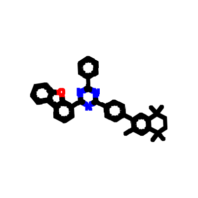 Cc1cc2c(cc1-c1ccc(-c3nc(-c4ccccc4)nc(-c4cccc5c4oc4ccccc45)n3)cc1)C(C)(C)CCC2(C)C